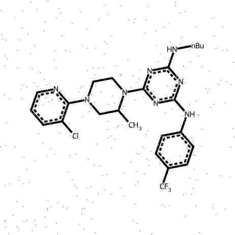 CCCCNc1nc(Nc2ccc(C(F)(F)F)cc2)nc(N2CCN(c3ncccc3Cl)CC2C)n1